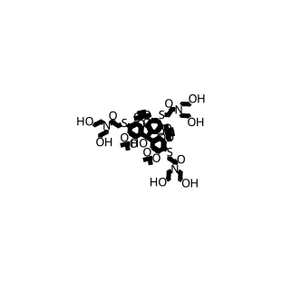 CC1(C)Oc2c(c(C(O)(c3c4c(c(SCC(=O)N(CCO)CCO)c5c3OC(C)(C)O5)OC(C)(C)O4)c3c4c(c(SCC(=O)N(CCO)CCO)c5c3OC(C)(C)O5)OC(C)(C)O4)c3c(c2SCC(=O)N(CCO)CCO)OC(C)(C)O3)O1